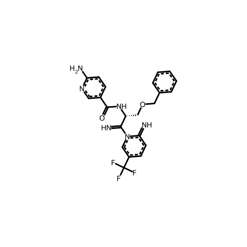 N=C([C@@H](COCc1ccccc1)NC(=O)c1ccc(N)nc1)n1cc(C(F)(F)F)ccc1=N